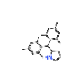 CC1=CC(C)=C(C(c2c(C)cc(C)cc2C)C2CCCN2)C(C)C1